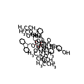 CC(C)[C@@H](C(=O)OC(C)(C)C)N(C(=O)[C@H](CCCC(N)C(=O)OC(C)(C)C)NC(=O)[C@@H](Cc1c[nH]c2ccccc12)NC(=O)[C@@H](N)Cc1ccc(O)cc1)N(C)[C@@H](Cc1ccccc1)C(=O)OC(=O)OCC1c2ccccc2-c2ccccc21